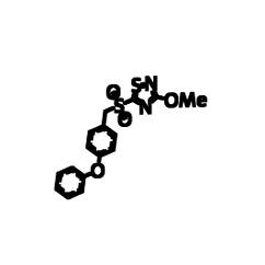 COc1nsc(S(=O)(=O)Cc2ccc(Oc3ccccc3)cc2)n1